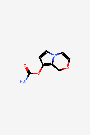 NC(=O)Oc1ccn2c1COC=C2